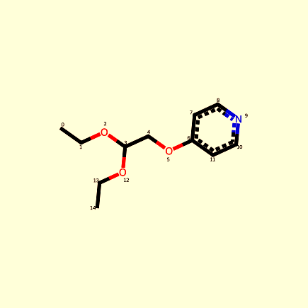 CCOC(COc1ccncc1)OCC